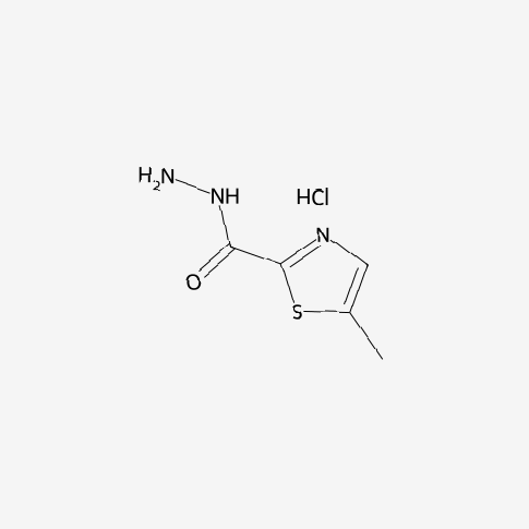 Cc1cnc(C(=O)NN)s1.Cl